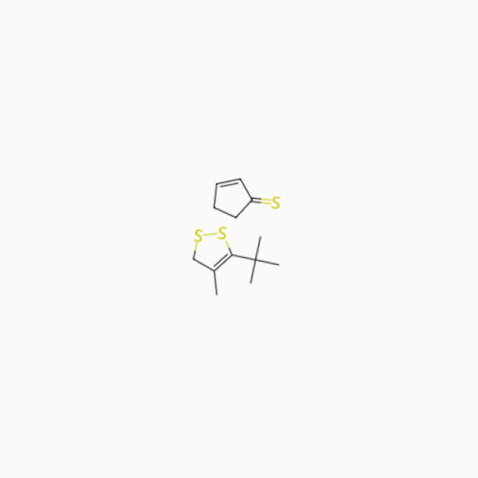 CC1=C(C(C)(C)C)SSC1.S=C1C=CCC1